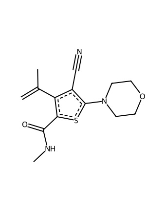 C=C(C)c1c(C(=O)NC)sc(N2CCOCC2)c1C#N